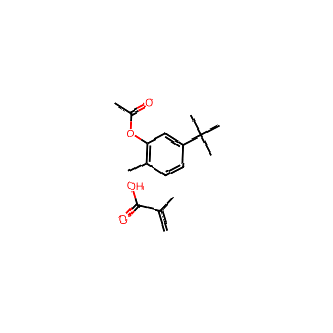 C=C(C)C(=O)O.CC(=O)Oc1cc(C(C)(C)C)ccc1C